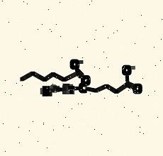 CCCCCC(=O)[O-].CCCCCC(=O)[O-].C[CH2][Bi+2]